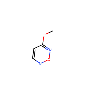 COC1=NO[N]C=C1